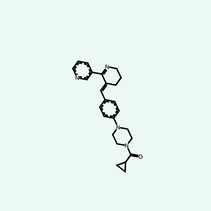 O=C(C1CC1)N1CCN(c2ccc(/C=C3\CCCN=C3c3cccnc3)cc2)CC1